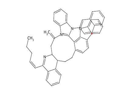 C=C1CC2N=C(/C=C\CCC)c3ccccc3C2CCc2ccc3c(oc4ccccc43)c2-c2n(-c3ccc4ccccc4c3)c3ccccc3[n+]21